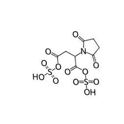 O=C(CC(C(=O)OS(=O)(=O)O)N1C(=O)CCC1=O)OS(=O)(=O)O